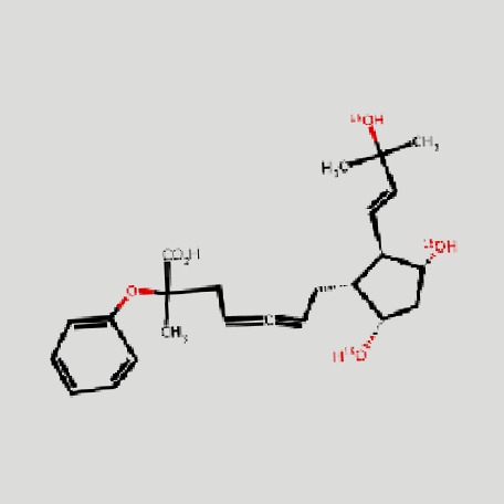 CC(C)([16OH])C=C[C@@H]1[C@@H](CC=C=CCC(C)(Oc2ccccc2)C(=O)O)[C@@H]([16OH])C[C@H]1[16OH]